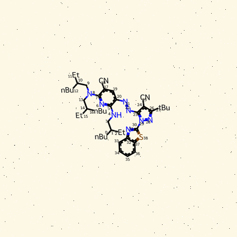 CCCCC(CC)CNc1nc(N(CC(CC)CCCC)CC(CC)CCCC)c(C#N)cc1N=Nc1c(C#N)c(C(C)(C)C)nn1-c1nc2ccccc2s1